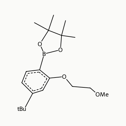 COCCOc1cc(C(C)(C)C)ccc1B1OC(C)(C)C(C)(C)O1